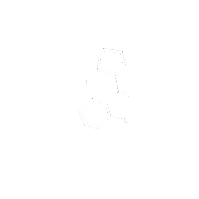 CCc1ccccc1C(=O)c1ccccc1I